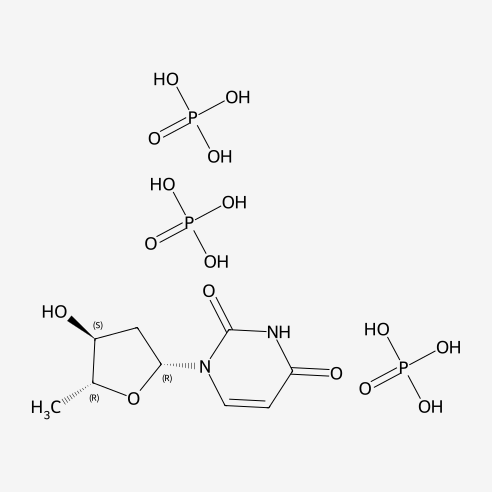 C[C@H]1O[C@@H](n2ccc(=O)[nH]c2=O)C[C@@H]1O.O=P(O)(O)O.O=P(O)(O)O.O=P(O)(O)O